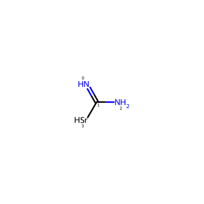 N=[C](N)[SrH]